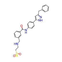 O=C(Nc1ccc(-c2cc(Cc3ccccc3)n[nH]2)cc1)c1cccc(CNCC[SH](=O)=O)c1